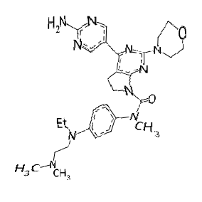 CCN(CCN(C)C)c1ccc(N(C)C(=O)N2CCc3c(-c4cnc(N)nc4)nc(N4CCOCC4)nc32)cc1